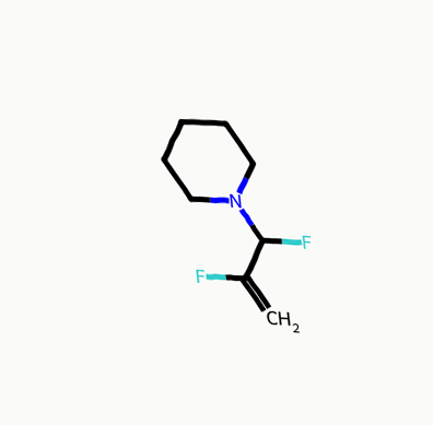 C=C(F)C(F)N1CCCCC1